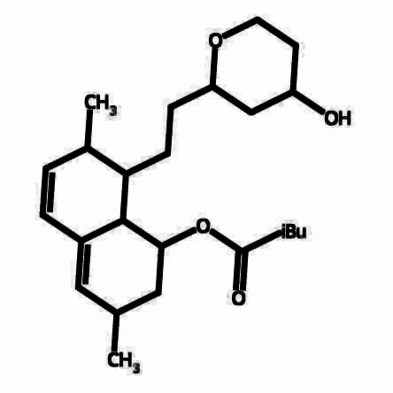 CCC(C)C(=O)OC1CC(C)C=C2C=CC(C)C(CCC3CC(O)CCO3)C21